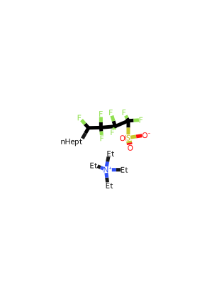 CCCCCCCC(F)C(F)(F)C(F)(F)C(F)(F)S(=O)(=O)[O-].CC[N+](CC)(CC)CC